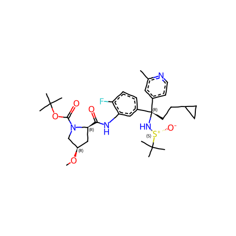 CO[C@@H]1C[C@H](C(=O)Nc2cc([C@@](CCC3CC3)(N[S@+]([O-])C(C)(C)C)c3ccnc(C)c3)ccc2F)N(C(=O)OC(C)(C)C)C1